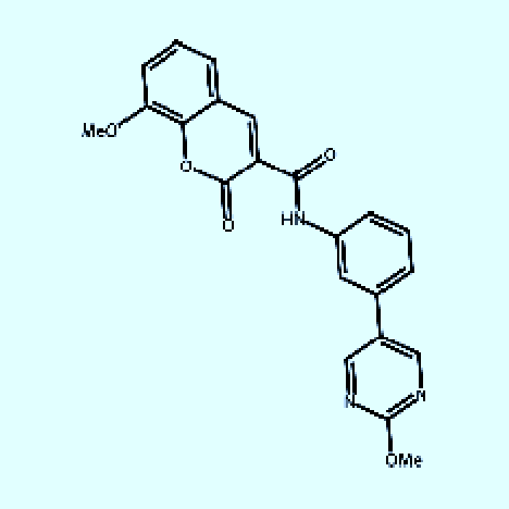 COc1ncc(-c2cccc(NC(=O)c3cc4cccc(OC)c4oc3=O)c2)cn1